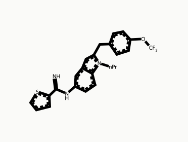 CCCn1c(Cc2ccc(OC(F)(F)F)cc2)cc2cc(NC(=N)c3cccs3)ccc21